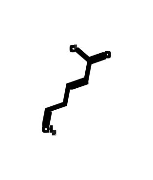 C=CCC=CC(=O)Cl